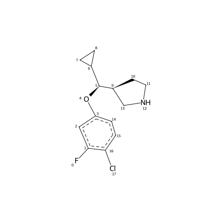 Fc1cc(O[C@@H](C2CC2)[C@H]2CCNC2)ccc1Cl